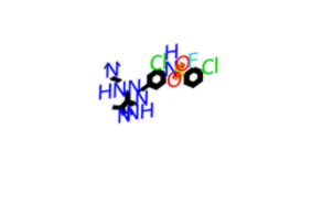 Cc1n[nH]c2nc(-c3ccc(NS(=O)(=O)c4cccc(Cl)c4F)c(Cl)c3)nc(NCCN(C)C)c12